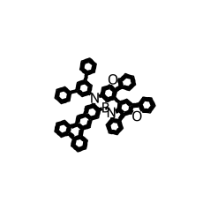 c1ccc(-c2cc(-c3ccccc3)cc(N3c4cc5cc6c7ccccc7c7ccccc7c6cc5cc4B4c5c3cc3oc6ccccc6c3c5-c3cc5c6ccccc6oc5c5c6ccccc6n4c35)c2)cc1